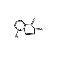 CC(C)c1cccc2c1C=CC(=N)C2=O